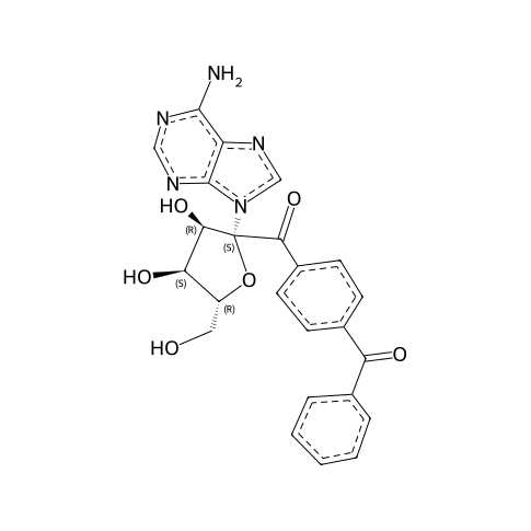 Nc1ncnc2c1ncn2[C@]1(C(=O)c2ccc(C(=O)c3ccccc3)cc2)O[C@H](CO)[C@@H](O)[C@H]1O